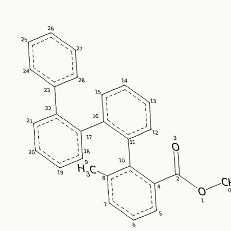 COC(=O)c1cccc(C)c1-c1ccccc1-c1ccccc1-c1ccccc1